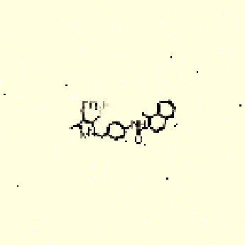 Cc1nn(Cc2ccc(NC(=O)c3ccc4ccccc4c3C)cc2)c(C)c1CC(=O)O